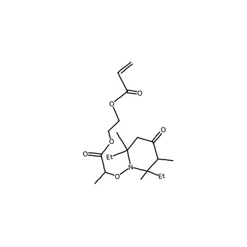 C=CC(=O)OCCOC(=O)C(C)ON1C(C)(CC)CC(=O)C(C)C1(C)CC